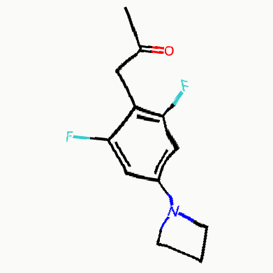 CC(=O)Cc1c(F)cc(N2CCC2)cc1F